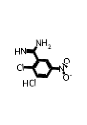 Cl.N=C(N)c1cc([N+](=O)[O-])ccc1Cl